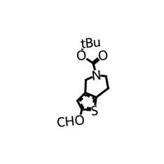 CC(C)(C)OC(=O)N1CCc2sc(C=O)cc2C1